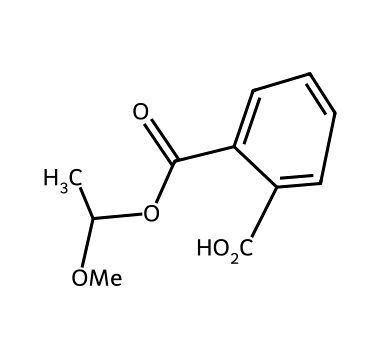 COC(C)OC(=O)c1ccccc1C(=O)O